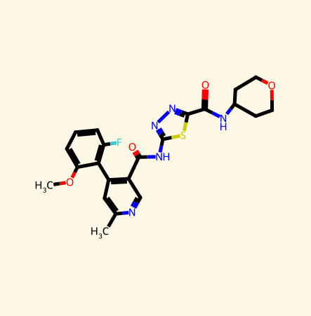 COc1cccc(F)c1-c1cc(C)ncc1C(=O)Nc1nnc(C(=O)NC2CCOCC2)s1